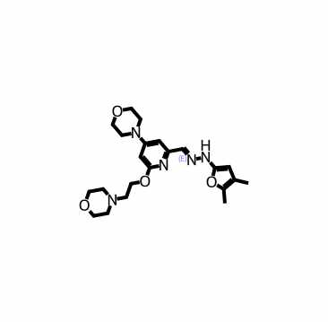 Cc1cc(N/N=C/c2cc(N3CCOCC3)cc(OCCN3CCOCC3)n2)oc1C